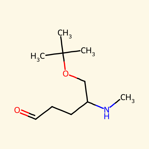 CNC(CCC=O)COC(C)(C)C